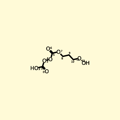 O=C(O)OOC(=O)OCCCOO